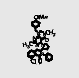 COc1ccc(CN2CN(C)C(=O)c3c2nc(C)nc3N2CCCC2c2cc3cccc(Cl)c3c(=O)n2-c2ccccc2)cc1